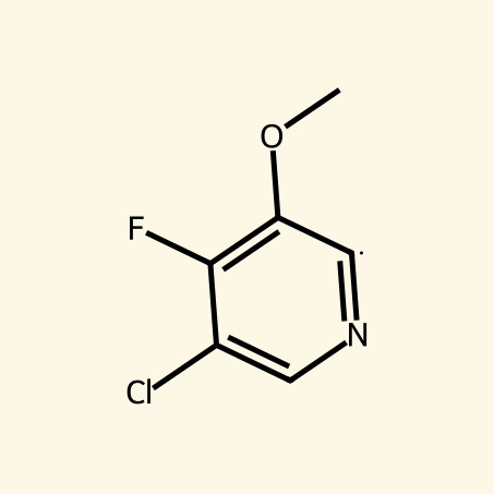 COc1[c]ncc(Cl)c1F